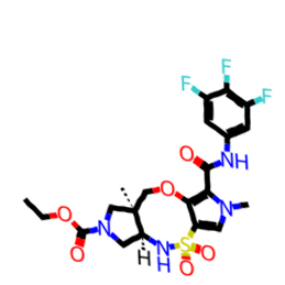 CCOC(=O)N1C[C@@H]2NS(=O)(=O)c3cn(C)c(C(=O)Nc4cc(F)c(F)c(F)c4)c3OC[C@]2(C)C1